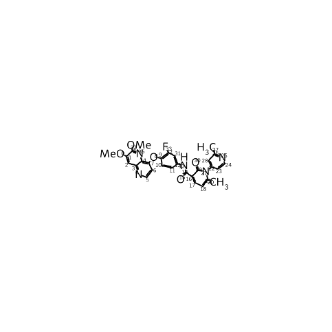 COc1cc2nccc(Oc3ccc(NC(=O)c4ccc(C)n(-c5ccnc(C)c5)c4=O)cc3F)c2nc1OC